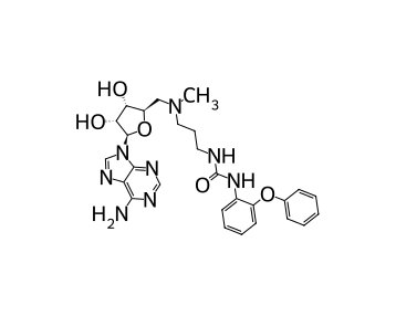 CN(CCCNC(=O)Nc1ccccc1Oc1ccccc1)C[C@H]1O[C@@H](n2cnc3c(N)ncnc32)[C@H](O)[C@@H]1O